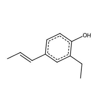 CC=Cc1ccc(O)c(CC)c1